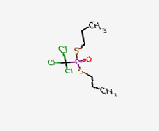 CCCSP(=O)(SCCC)C(Cl)(Cl)Cl